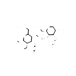 CC(=O)OC[C@@H]1OC(CC(=O)O)[C@H](CC(=O)O)[C@H](N=[N+]=[N-])[C@H]1CC(=O)O.CC(=O)OC[C@H]1O[C@H](Br)[C@H](OC(C)=O)[C@@H](N=[N+]=[N-])[C@H]1OC(C)=O